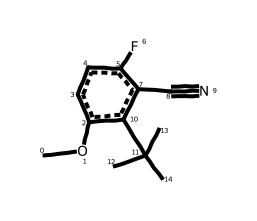 COc1[c]cc(F)c(C#N)c1C(C)(C)C